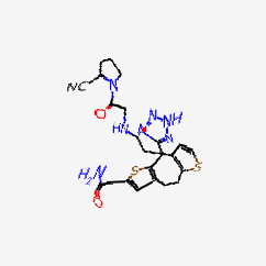 C[C@H](CC1(c2nn[nH]n2)c2ccsc2CCc2cc(C(N)=O)sc21)NCC(=O)N1CCCC1C#N